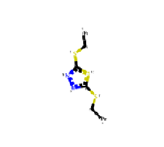 CC(C)CSc1nnc(SCC(C)C)s1